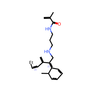 C=C(C)C(=O)NCCCNC/C(C(=C)/C=C\CC)=C1\C=CC=CC1C